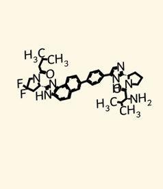 CC(C)CC(=O)N1CC(F)(F)C[C@H]1c1nc2c(ccc3cc(-c4ccc(-c5cnc([C@@H]6CCCN6C(=O)[C@@H](N)C(C)C)[nH]5)cc4)ccc32)[nH]1